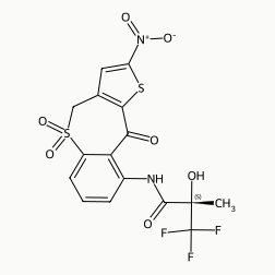 C[C@](O)(C(=O)Nc1cccc2c1C(=O)c1sc([N+](=O)[O-])cc1CS2(=O)=O)C(F)(F)F